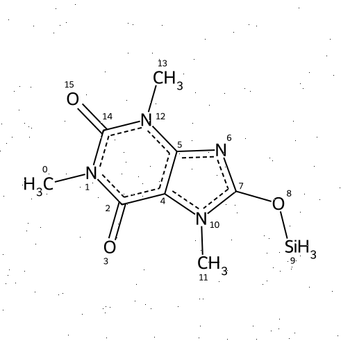 Cn1c(=O)c2c(nc(O[SiH3])n2C)n(C)c1=O